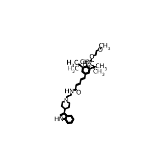 COCCOCOc1c(C(C)(C)C)cc(C=CC=CC(=O)NCCN2CCC(c3c[nH]c4ccccc34)CC2)cc1C(C)(C)C